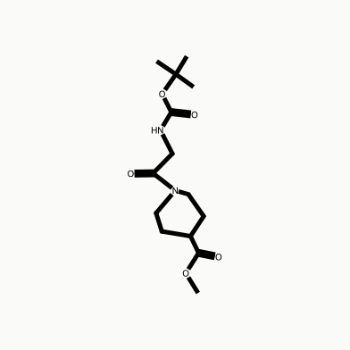 COC(=O)C1CCN(C(=O)CNC(=O)OC(C)(C)C)CC1